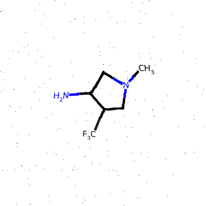 CN1CC(N)C(C(F)(F)F)C1